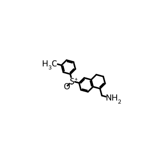 Cc1cccc([S+]([O-])c2ccc3c(c2)CCC=C3CN)c1